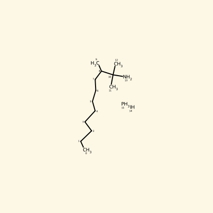 CCCCCCCCC(C)C(C)(C)N.I.P